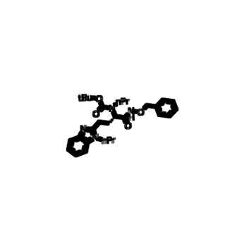 CCCN(C(=O)OC(C)(C)C)[C@@H](CCc1nc2ccccc2n1CCC)C(=O)NOCc1ccccc1